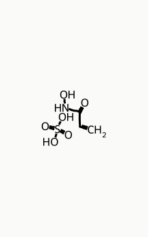 C=CC(=O)NO.O=S(=O)(O)O